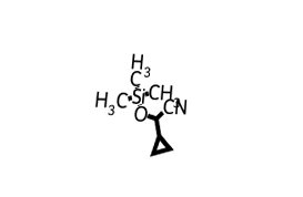 C[Si](C)(C)OC(C#N)C1CC1